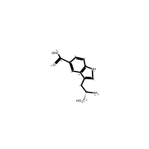 N[C@@H](Cc1c[nH]c2ccc(C(=O)C=O)cc12)C(=O)O